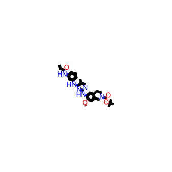 C=CC(=O)Nc1cccc(Nc2nc(Nc3cc4c(cc3OC)CN(C(=O)OC(C)(C)C)CC4)ncc2C)c1